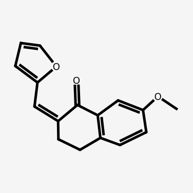 COc1ccc2c(c1)C(=O)C(=Cc1ccco1)CC2